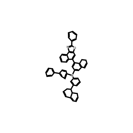 C1=CCC2C(=C1)C=CCC2c1cccc(N(c2ccc(-c3ccccc3)cc2)c2cc3c(c(-c4cc5oc(-c6ccccc6)nc5c5ccccc45)c2)CCC=C3)c1